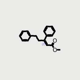 COC(=O)/C=C(/CCc1ccccc1)c1ccccc1